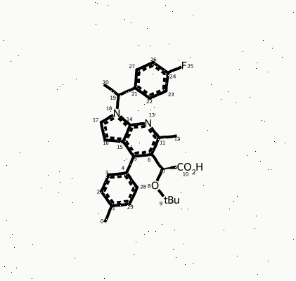 Cc1ccc(-c2c([C@H](OC(C)(C)C)C(=O)O)c(C)nc3c2ccn3C(C)c2ccc(F)cc2)cc1